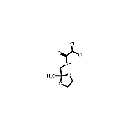 CC1(CNC(=O)C(Cl)Cl)OCCO1